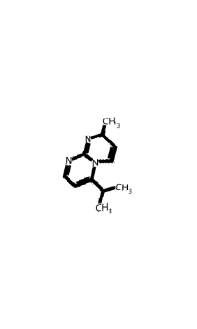 CC1C=CN2C(C(C)C)=CC=NC2=N1